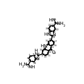 N=C(N)c1ccc2[nH]c(-c3ccc4c(=O)c5ccc(-c6nc7cc(C(=N)N)ccc7[nH]6)cc5[nH]c4c3)nc2c1